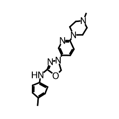 Cc1ccc(NC2=NN(c3ccc(N4CCN(C)CC4)nc3)CO2)cc1